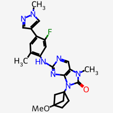 COC12CCC(n3c(=O)n(C)c4cnc(Nc5cc(F)c(-c6cnn(C)c6)cc5C)nc43)(C1)C2